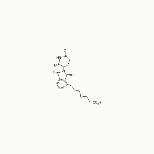 O=C(O)CCOCCCc1cccc2c1C(=O)N(C1CCC(=O)NC1=O)C2=O